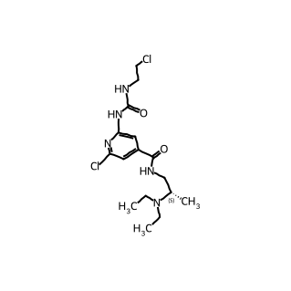 CCN(CC)[C@@H](C)CNC(=O)c1cc(Cl)nc(NC(=O)NCCCl)c1